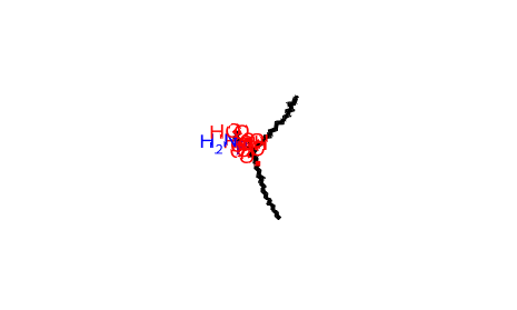 CCCCCCCCCCCCCCCCCC=CC(=O)C(OC(=O)CCCCCCCCCCCCCCC)[C@H](CO)OP(=O)(O)OC[C@H](N)C(=O)O